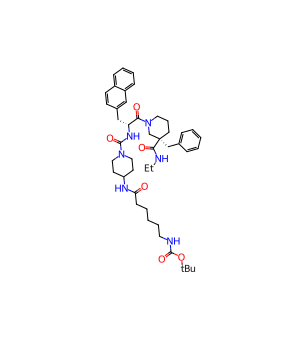 CCNC(=O)[C@]1(Cc2ccccc2)CCCN(C(=O)[C@@H](Cc2ccc3ccccc3c2)NC(=O)N2CCC(NC(=O)CCCCCNC(=O)OC(C)(C)C)CC2)C1